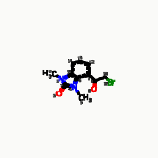 Cn1c(=O)n(C)c2c(C(=O)CBr)cccc21